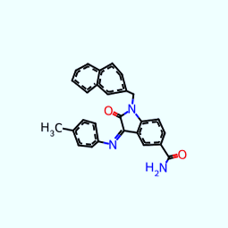 Cc1ccc(/N=C2\C(=O)N(Cc3ccc4ccccc4c3)c3ccc(C(N)=O)cc32)cc1